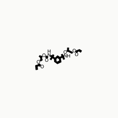 C=CC(=O)OCC(C)ONC(C)(C)c1cccc(C(C)(C)NC(=O)OC(C)COC(=O)C=C)c1